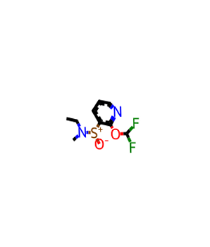 CCN(C)[S+]([O-])c1cccnc1OC(F)F